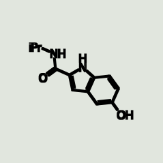 CC(C)NC(=O)c1cc2cc(O)ccc2[nH]1